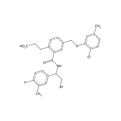 Cc1ccc(Cl)c(OCc2ccc(CCC(=O)O)c(C(=O)NC(CC(C)C)c3ccc(F)c(C)c3)c2)c1